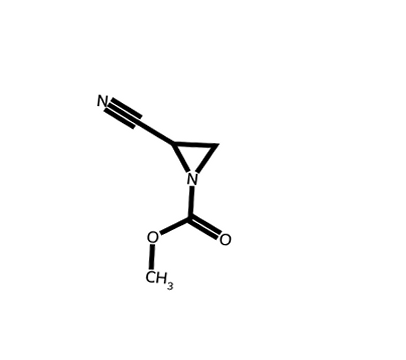 COC(=O)N1CC1C#N